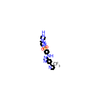 CC1(N2CCNCC2)C=CN(S(=O)(=O)c2ccc(Nc3ncnc4cc(-c5ncccc5C(F)(F)F)ccc34)cc2)N=N1